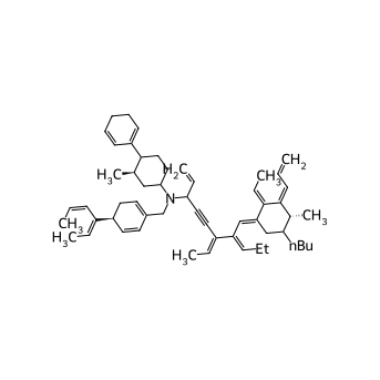 C=C\C=C1C(=C\C)/C(=C/C(=C\CC)C(/C#CC(C=C)N(CC2=CC[C@H](C(/C=C\C)=C/C)C=C2)C2CCC(C3=CCCC=C3)[C@H](C)C2)=C/C)CC(CCCC)[C@H]/1C